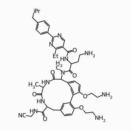 CCc1nc(-c2ccc(CC(C)C)cc2)ncc1C(=O)NC(CCN)C(=O)N(C)C1C(=O)NC(C)C(=O)NC(C(=O)NCC#N)Cc2ccc(OCCN)c(c2)-c2cc1ccc2OCCN